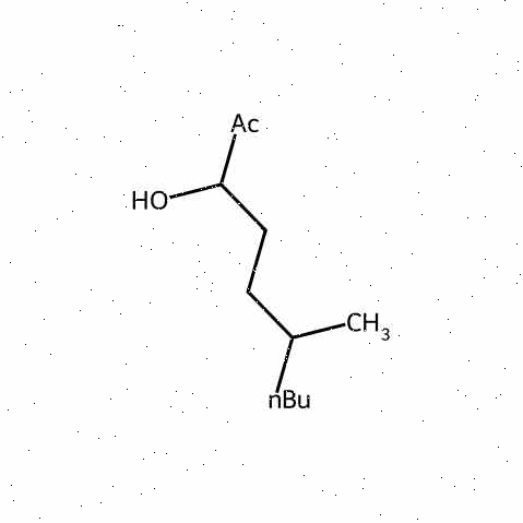 CCCCC(C)CCC(O)C(C)=O